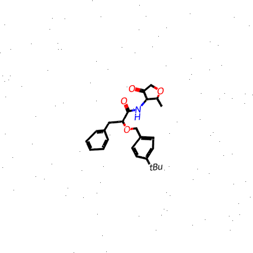 CC1OCC(=O)C1NC(=O)C(Cc1ccccc1)OCc1ccc(C(C)(C)C)cc1